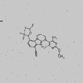 COc1nc(C)c(N2CCCn3c2nc2c(C#N)ccc(C(OC(F)F)C(F)(F)F)c23)c(C)n1